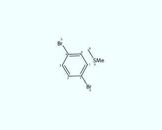 Brc1ccc(Br)cc1.CSC